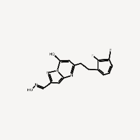 O/N=C/c1cc2nc(CCc3cccc(F)c3F)cc(O)n2n1